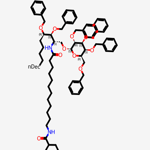 CCCCCCCCCCCCCC[C@@H](OCc1ccccc1)[C@@H](OCc1ccccc1)[C@H](CO[C@H]1O[C@H](COCc2ccccc2)[C@H](OCc2ccccc2)[C@H](OCc2ccccc2)[C@H]1OCc1ccccc1)NC(=O)CCCCCCCCCCCNC(=O)C1CCCCC1